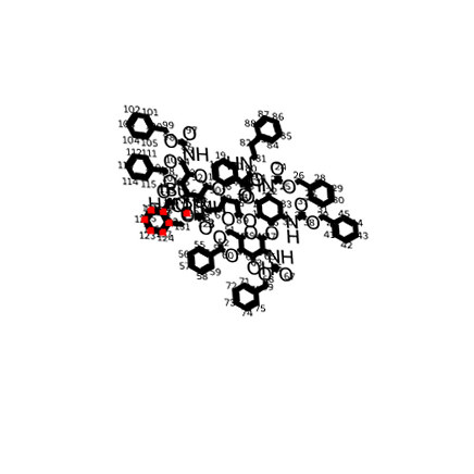 CC(C)(C)[Si](C)(C)OCC1OC(OC2C(OC(=O)c3ccccc3)C(NC(=O)OCc3ccccc3)CC(NC(=O)OCc3ccccc3)C2OC2OC3COC(c4ccccc4)OC3C(O)C2NC(=O)OCc2ccccc2)C(OCCNCCc2ccccc2)C1OC1OC(CNC(=O)OCc2ccccc2)C(OC(=O)c2ccccc2)C(OC(=O)c2ccccc2)C1NC(=O)OCc1ccccc1